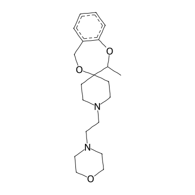 CC1Oc2ccccc2COC12CCN(CCN1CCOCC1)CC2